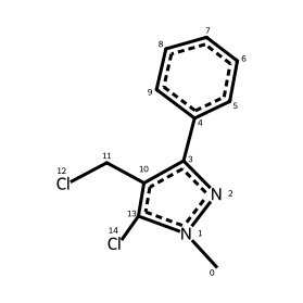 Cn1nc(-c2ccccc2)c(CCl)c1Cl